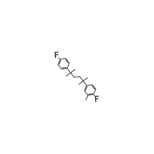 Cc1cc(C(C)(C)CCC(C)(C)c2ccc(F)cc2)ccc1F